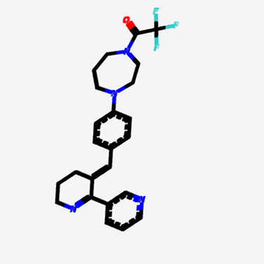 O=C(N1CCCN(c2ccc(C=C3CCCN=C3c3cccnc3)cc2)CC1)C(F)(F)F